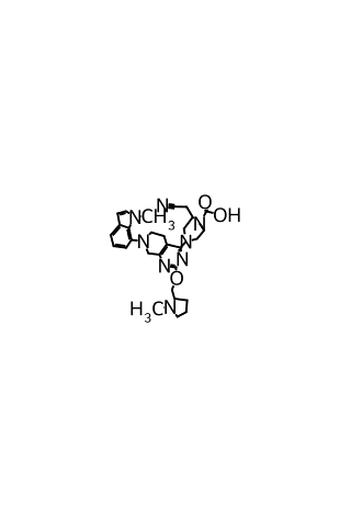 CN1CCCC1COc1nc2c(c(N3CCN(C(=O)O)C(CC#N)C3)n1)CCN(c1cccc3ccn(C)c13)C2